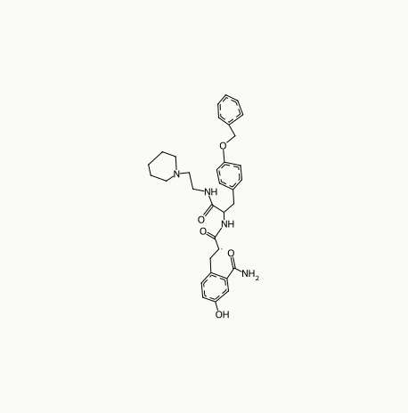 NC(=O)c1cc(O)ccc1C[CH]C(=O)NC(Cc1ccc(OCc2ccccc2)cc1)C(=O)NCCN1CCCCC1